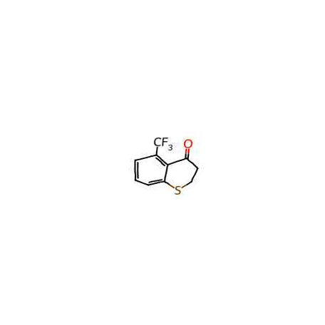 O=C1CCSc2cccc(C(F)(F)F)c21